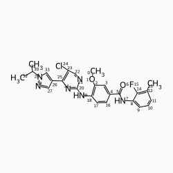 COc1cc(C(=O)Nc2cccc(C)c2F)ccc1Nc1ncc(Cl)c(-c2cnn(C(C)C)c2)n1